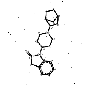 O=C1Cc2ccccc2N1C1CCN(C2CC3CCC2C3)CC1